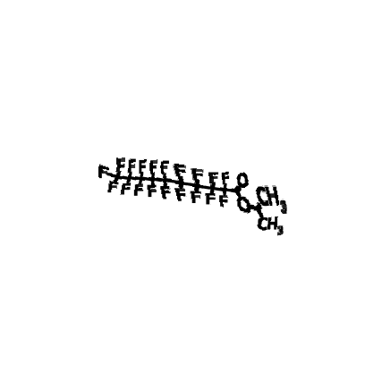 CC(C)OC(=O)C(F)(F)C(F)(F)C(F)(F)C(F)(F)C(F)(F)C(F)(F)C(F)(F)C(F)(F)C(F)(F)F